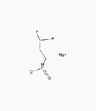 O=[PH]([O-])CCC(F)F.[Na+]